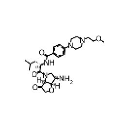 COCCN1CCN(c2ccc(C(=O)N[C@@H](CC(C)C)C(=O)N3C[C@@H](N)[C@H]4OCC(=O)[C@H]43)cc2)CC1